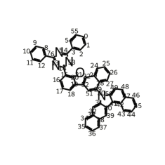 c1ccc(-c2nc(-c3ccccc3)nc(-c3cccc4c3oc3c5ccccc5c(-n5c6cc7ccccc7cc6c6c7ccccc7ccc65)cc43)n2)cc1